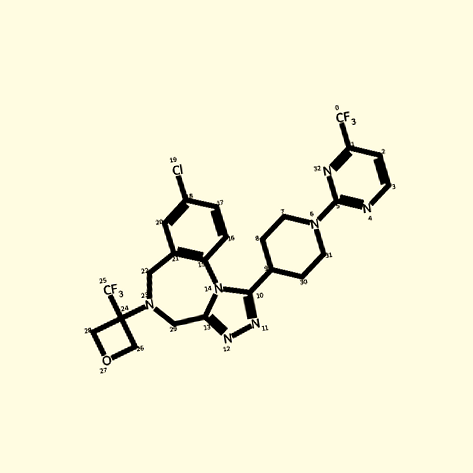 FC(F)(F)c1ccnc(N2CCC(c3nnc4n3-c3ccc(Cl)cc3CN(C3(C(F)(F)F)COC3)C4)CC2)n1